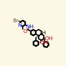 Cc1nc(Br)ccc1NC(=O)c1ccc2c(c1)CC[C@@H]1C[C@@](O)(c3ccccc3)[C@](C)(O)C[C@@]21Cc1ccccc1